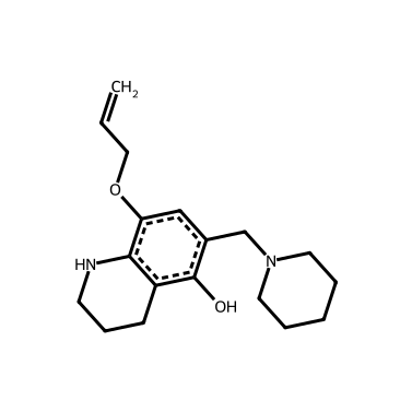 C=CCOc1cc(CN2CCCCC2)c(O)c2c1NCCC2